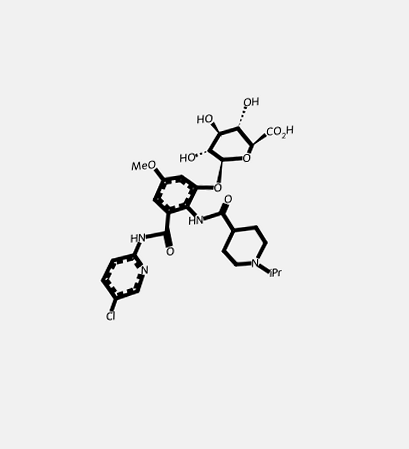 COc1cc(O[C@@H]2O[C@H](C(=O)O)[C@@H](O)[C@H](O)[C@H]2O)c(NC(=O)C2CCN(C(C)C)CC2)c(C(=O)Nc2ccc(Cl)cn2)c1